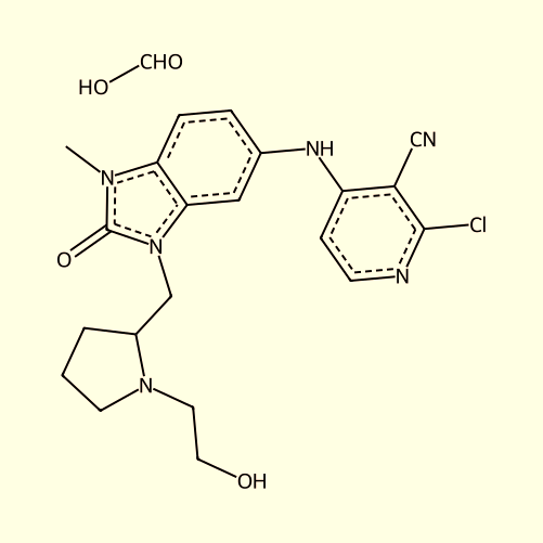 Cn1c(=O)n(CC2CCCN2CCO)c2cc(Nc3ccnc(Cl)c3C#N)ccc21.O=CO